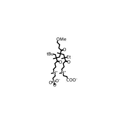 CCC(C)(CC(C)(CC(C)(CC(C)(C)C)C(=O)CCC[N+](C)(C)CCS(=O)(=O)[O-])C(=O)CCCOC)C(=O)CCC[N+](C)(C)CCC(=O)[O-]